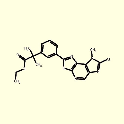 CCOC(=O)C(C)(C)c1cccc(-c2nc3c(ncc4nc(Cl)n(C)c43)s2)c1